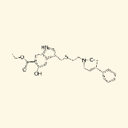 CCOC(=O)c1cc2[nH]cc(CSCCN3CC=C(c4ccccc4)CC3)c2cc1O